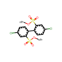 CCCOS(=O)(=O)c1cc(Cl)ccc1-c1ccc(Cl)cc1S(=O)(=O)OCCC